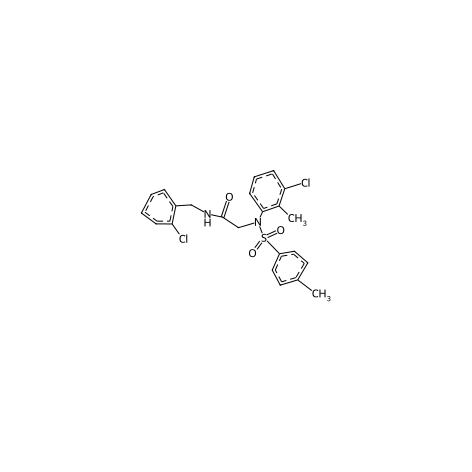 Cc1ccc(S(=O)(=O)N(CC(=O)NCc2ccccc2Cl)c2cccc(Cl)c2C)cc1